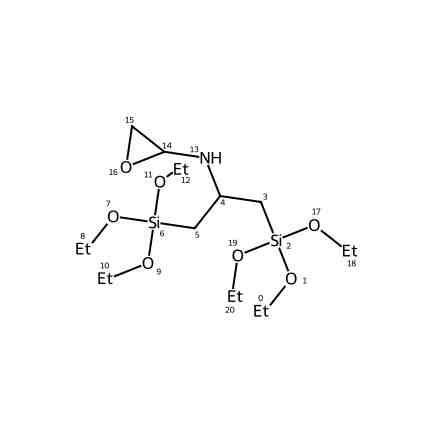 CCO[Si](CC(C[Si](OCC)(OCC)OCC)NC1CO1)(OCC)OCC